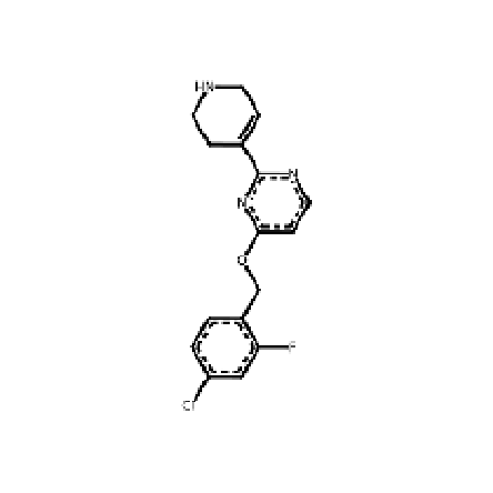 Fc1cc(Cl)ccc1COc1ccnc(C2=CCNCC2)n1